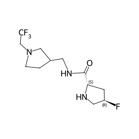 O=C(NCC1CCN(CC(F)(F)F)C1)[C@@H]1C[C@@H](F)CN1